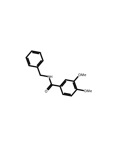 COc1ccc(C(=O)NCc2c[c]ccc2)cc1OC